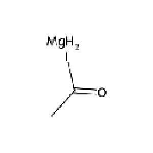 CC(=O)I.[MgH2]